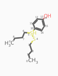 CCCCS[SH](CCCC)c1ccc(O)cc1